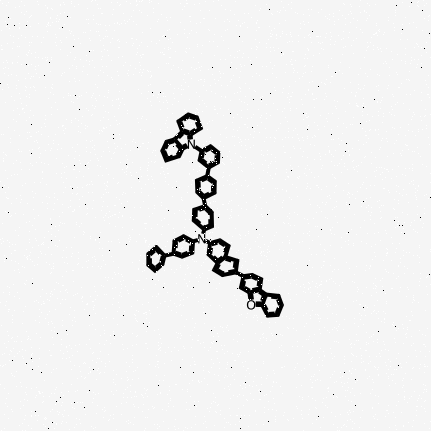 c1ccc(-c2ccc(N(c3ccc(-c4ccc(-c5cccc(-n6c7ccccc7c7ccccc76)c5)cc4)cc3)c3ccc4cc(-c5ccc6c(c5)oc5ccccc56)ccc4c3)cc2)cc1